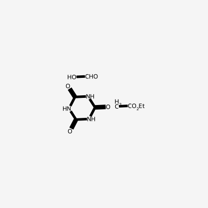 CCOC(C)=O.O=CO.O=c1[nH]c(=O)[nH]c(=O)[nH]1